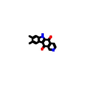 Cc1cc2[nH]c3c(c2cc1C)C(=O)c1cnccc1C3=O